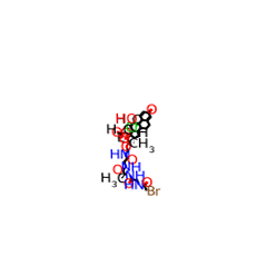 CCC(=O)O[C@]1(C(=O)COCNC(=O)CNC(=O)[C@H](C)NC(=O)CNC(=O)CBr)[C@@H](C)CC2[C@@H]3CCC4=CC(=O)C=C[C@]4(C)[C@@]3(Cl)[C@@H](O)C[C@@]21C